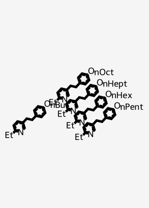 CCCCCCCCOc1ccc(CCc2ccc(CC)nc2)cc1.CCCCCCCOc1ccc(CCc2ccc(CC)nc2)cc1.CCCCCCOc1ccc(CCc2ccc(CC)nc2)cc1.CCCCCOc1ccc(CCc2ccc(CC)nc2)cc1.CCCCOc1ccc(CCc2ccc(CC)nc2)cc1